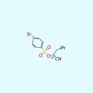 CC(C)C[C@@H](C#N)OS(=O)(=O)c1ccc(Br)cc1